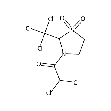 O=C(C(Cl)Cl)N1CCS(=O)(=O)C1C(Cl)(Cl)Cl